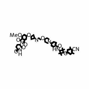 COc1cc(OC2CC(N(C)CCOC3CCN(c4ccc(C(=O)NC5C(C)(C)C(Oc6cc(C)c(C#N)c(C)c6)C5(C)C)cc4)CC3)C2)cc2c1C(=O)N([C@@H]1CCC(=O)NC1=O)C2=O